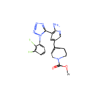 CC(C)OC(=O)N1CC=C(c2cnc(N)c(-c3nnnn3-c3cccc(F)c3F)c2)CC1